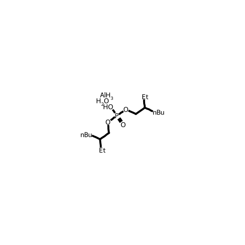 CCCCC(CC)COP(=O)(O)OCC(CC)CCCC.O.[AlH3]